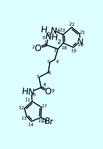 NC(=O)C(CCCCC(=O)Nc1cccc(Br)c1)c1cnccc1N